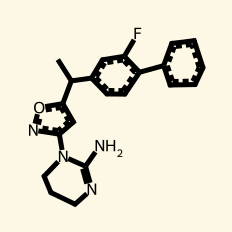 CC(c1ccc(-c2ccccc2)c(F)c1)c1cc(N2CCCN=C2N)no1